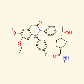 CNC(=O)[C@H]1CC[C@H](C(C)(O)c2ccc(N3C(=O)Cc4cc(OC)c(OC(C)C)cc4[C@@H]3c3ccc(Cl)cc3)cc2)CC1